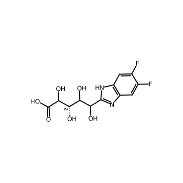 O=C(O)C(O)[C@@H](O)C(O)C(O)c1nc2cc(F)c(F)cc2[nH]1